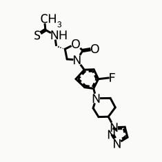 CC(=S)NC[C@H]1CN(c2ccc(N3CCC(n4ccnn4)CC3)c(F)c2)C(=O)O1